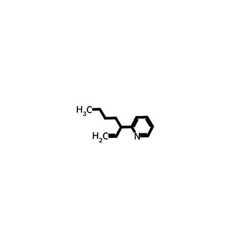 C=CC(CCCC)c1ccccn1